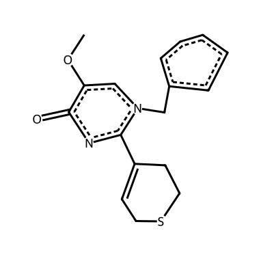 COc1cn(Cc2ccccc2)c(C2=CCSCC2)nc1=O